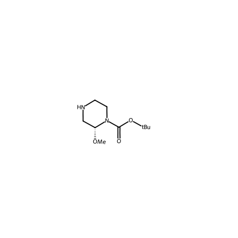 CO[C@@H]1CNCCN1C(=O)OC(C)(C)C